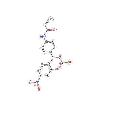 C=CC(=O)Nc1ccc(C(OC(=O)O)c2ccc([N+](=O)[O-])cc2)cc1